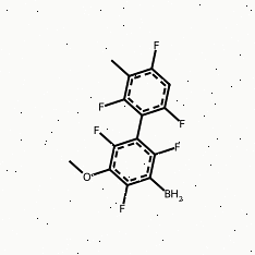 Bc1c(F)c(OC)c(F)c(-c2c(F)cc(F)c(C)c2F)c1F